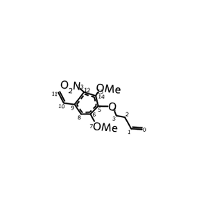 C=CCCOc1c(OC)cc(C=C)c([N+](=O)[O-])c1OC